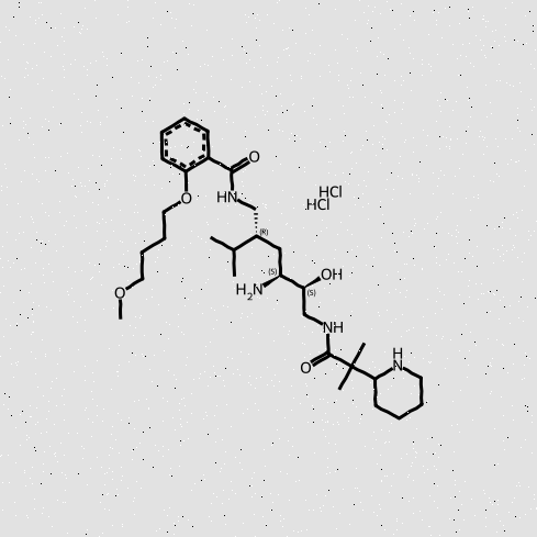 COCCCCOc1ccccc1C(=O)NC[C@H](C[C@H](N)[C@@H](O)CNC(=O)C(C)(C)C1CCCCN1)C(C)C.Cl.Cl